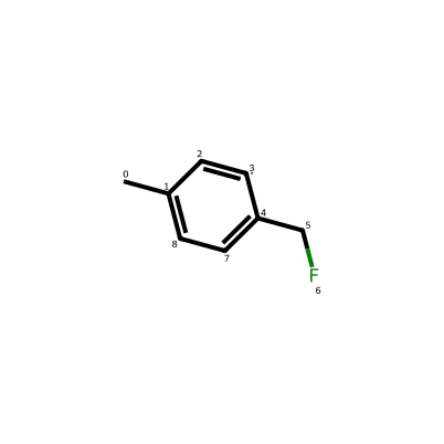 Cc1c[c]c(CF)cc1